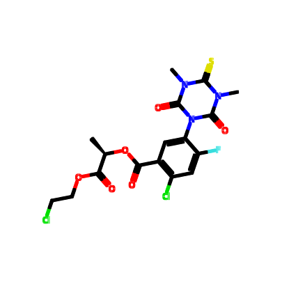 C[C@@H](OC(=O)c1cc(-n2c(=O)n(C)c(=S)n(C)c2=O)c(F)cc1Cl)C(=O)OCCCl